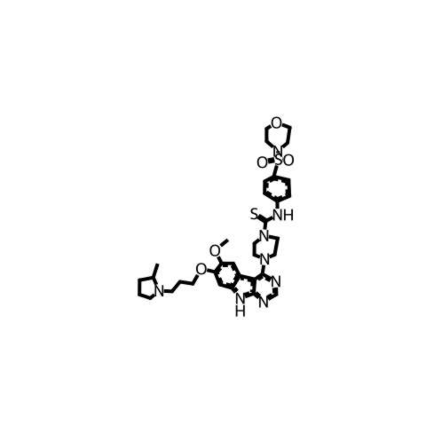 COc1cc2c(cc1OCCCN1CCCC1C)[nH]c1ncnc(N3CCN(C(=S)Nc4ccc(S(=O)(=O)N5CCOCC5)cc4)CC3)c12